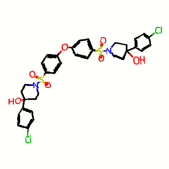 O=S(=O)(c1ccc(Oc2ccc(S(=O)(=O)N3CCC(O)(c4ccc(Cl)cc4)CC3)cc2)cc1)N1CCC(O)(c2ccc(Cl)cc2)CC1